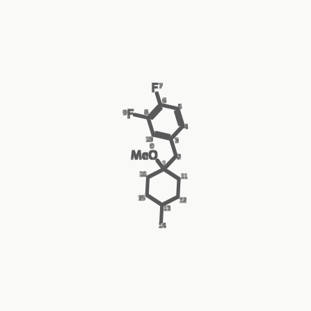 COC1(Cc2ccc(F)c(F)c2)CCC(C)CC1